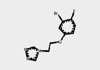 Fc1ccc(OCCn2cnnc2)cc1Br